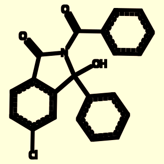 O=C(c1ccccc1)N1C(=O)c2ccc(Cl)cc2C1(O)c1ccccc1